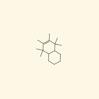 CC1=C(C)C(C)(C)C2CCCCC2C1(C)C